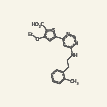 CCOc1cc(-c2cc(NCCc3ccccc3C)ncn2)sc1C(=O)O